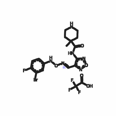 CC1(C(=O)Nc2nonc2/C=N/ONc2ccc(F)c(Br)c2)CCNCC1.O=C(O)C(F)(F)F